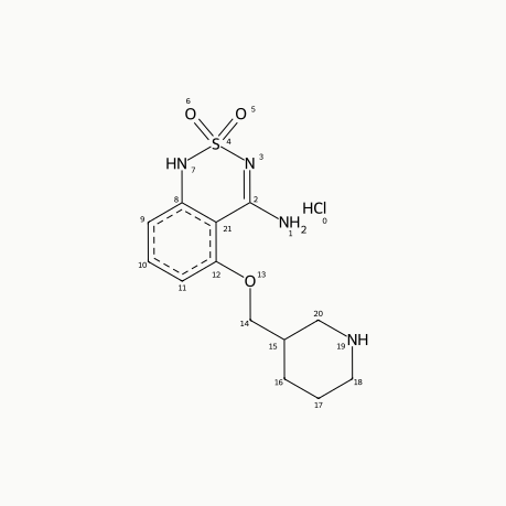 Cl.NC1=NS(=O)(=O)Nc2cccc(OCC3CCCNC3)c21